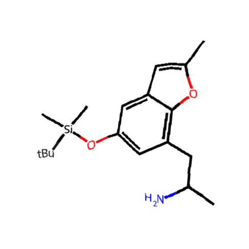 Cc1cc2cc(O[Si](C)(C)C(C)(C)C)cc(CC(C)N)c2o1